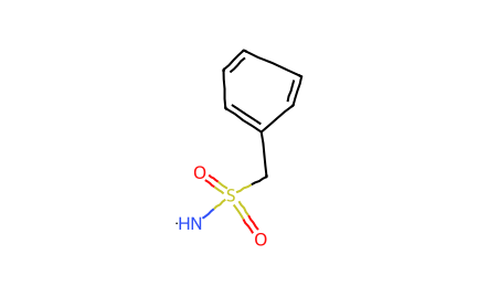 [NH]S(=O)(=O)Cc1ccccc1